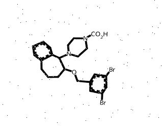 O=C(O)N1CCN(C2c3ccccc3CCCC2OCc2cc(Br)cc(Br)c2)CC1